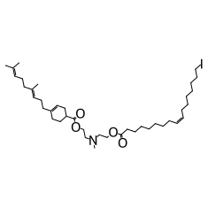 CC(C)=CCC/C(C)=C/CCC1=CCC(C(=O)OCCN(C)CCOC(=O)CCCCCCC/C=C\CCCCCCCI)CC1